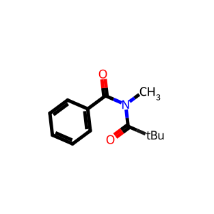 CN(C(=O)c1ccccc1)C(=O)C(C)(C)C